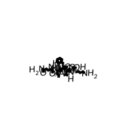 CC[C@H](C)[C@H](NC(=O)[C@@H](N)CCC(N)=O)C(=O)N[C@@H](Cc1ccccc1)C(=O)N[C@H](C(=O)N[C@@H](CCCCN)C(=O)O)C(C)C